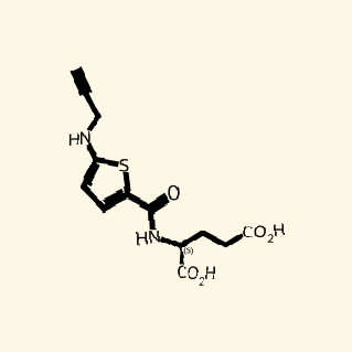 C#CCNc1ccc(C(=O)N[C@@H](CCC(=O)O)C(=O)O)s1